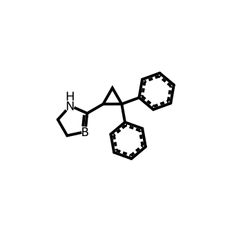 B1=C(C2CC2(c2ccccc2)c2ccccc2)NCC1